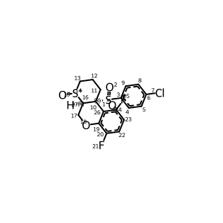 O=S(=O)(c1ccc(Cl)cc1)[C@@]12CCC[S+]([O-])[C@@H]1COc1c(F)ccc(F)c12